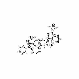 NC(=O)c1c2n(n(-c3ccccc3)c1=O)CCCC2c1ccc(-c2cn(C3COC3)c3ncnc(N)c23)cc1